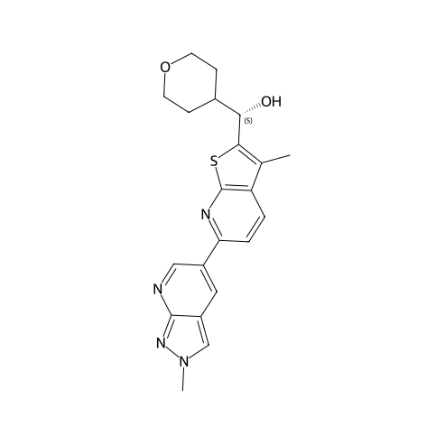 Cc1c([C@@H](O)C2CCOCC2)sc2nc(-c3cnc4nn(C)cc4c3)ccc12